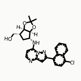 CC1(C)O[C@@H]2[C@@H](CO)C[C@@H](Nc3ccnc4cc(-c5ccc(Cl)c6ccccc56)nn34)[C@@H]2O1